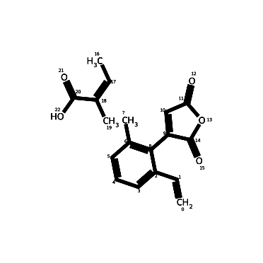 C=Cc1cccc(C)c1C1=CC(=O)OC1=O.CC=C(C)C(=O)O